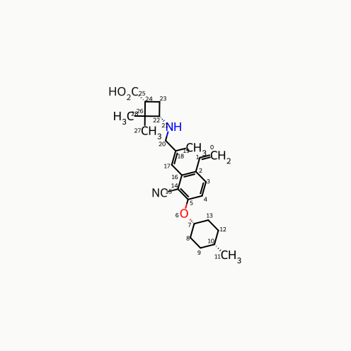 C=Cc1ccc(O[C@H]2CC[C@@H](C)CC2)c(C#N)c1/C=C(\C)CN[C@H]1C[C@@H](C(=O)O)C1(C)C